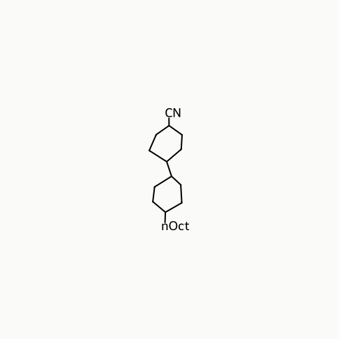 CCCCCCCCC1CCC(C2CCC(C#N)CC2)CC1